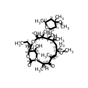 CC[C@H]1OC(=O)[C@H](C)[C@@H](O[C@H]2C[C@@](C)(OC)C[C@H](C)O2)[C@H](C)C[C@](C)(OC)/C=C(\C)C(=O)[C@H](C)N2CC(O)[C@]1(C)OC2=O